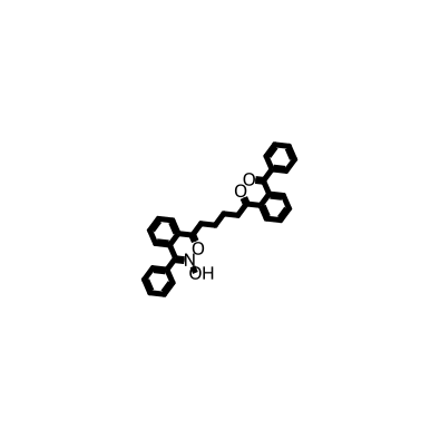 O=C(CCCCC(=O)c1ccccc1C(=NO)c1ccccc1)c1ccccc1C(=O)c1ccccc1